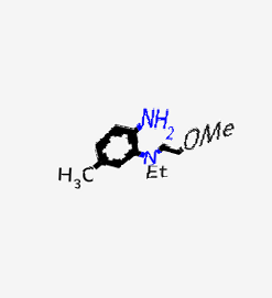 CCN(CCOC)c1cc(C)ccc1N